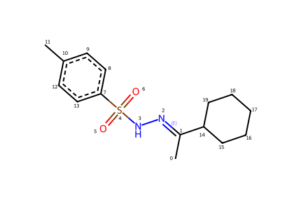 C/C(=N\NS(=O)(=O)c1ccc(C)cc1)C1CCCCC1